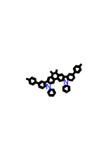 Cc1ccc(C2=Cc3c(n(-c4ccccc4)c4cc5c(cc34)C(C)C(C)c3cc4c6cc(-c7ccc(C)cc7)ccc6n(-c6ccccc6)c4cc3-5)CC2)cc1